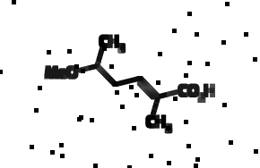 COC(C)C/C=C(\C)C(=O)O